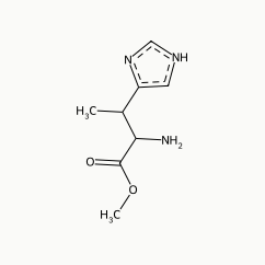 COC(=O)C(N)C(C)c1c[nH]cn1